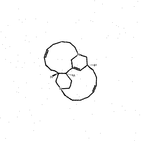 C1=C2CN3CCCC/C=C\CC[C@H]4CN(CCCC/C=C\CC[C@@H]1C3)CC[C@H]24